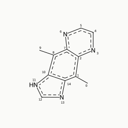 Cc1c2nccnc2c(C)c2[nH]cnc12